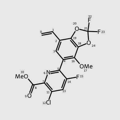 C=Cc1cc(-c2nc(C(=O)OC)c(Cl)cc2F)c(OC)c2c1OC(F)(F)O2